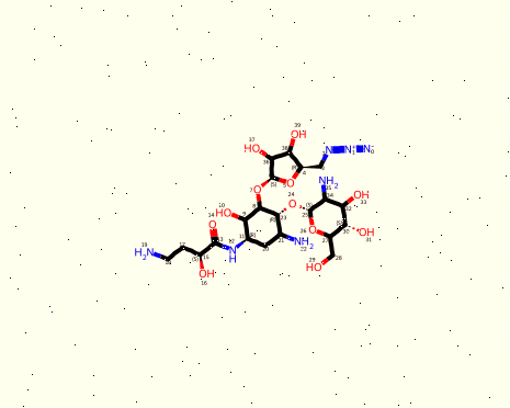 [N-]=[N+]=NC[C@H]1O[C@@H](OC2C(O)[C@H](NC(=O)[C@@H](O)CCN)CC(N)[C@H]2O[C@H]2OC(CO)[C@@H](O)C(O)C2N)C(O)C1O